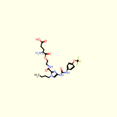 CCCCn1cc(NC(=O)Nc2ccc(OC(F)(F)F)cc2)nc1C(=O)NCCOC(=O)[C@@H](N)CCC(=O)O